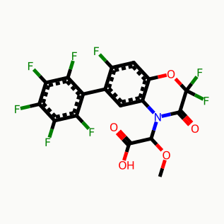 COC(C(=O)O)N1C(=O)C(F)(F)Oc2cc(F)c(-c3c(F)c(F)c(F)c(F)c3F)cc21